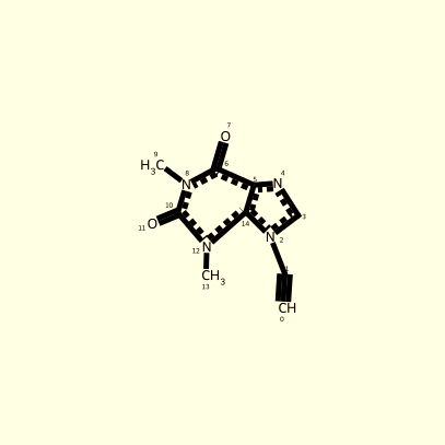 C#Cn1cnc2c(=O)n(C)c(=O)n(C)c21